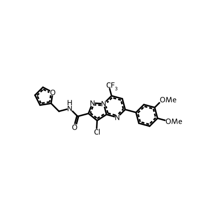 COc1ccc(-c2cc(C(F)(F)F)n3nc(C(=O)NCc4ccco4)c(Cl)c3n2)cc1OC